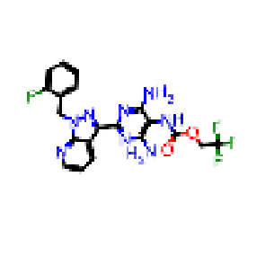 Nc1nc(-c2nn(Cc3ccccc3F)c3ncccc23)nc(N)c1NC(=O)OCC(F)(F)F